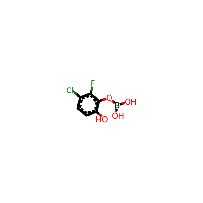 OB(O)Oc1c(O)ccc(Cl)c1F